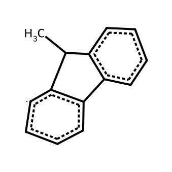 CC1c2[c]cccc2-c2ccccc21